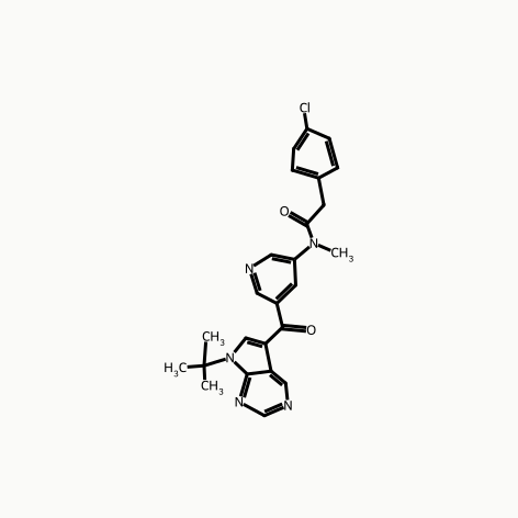 CN(C(=O)Cc1ccc(Cl)cc1)c1cncc(C(=O)c2cn(C(C)(C)C)c3ncncc23)c1